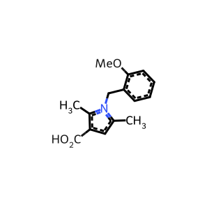 COc1ccccc1Cn1c(C)cc(C(=O)O)c1C